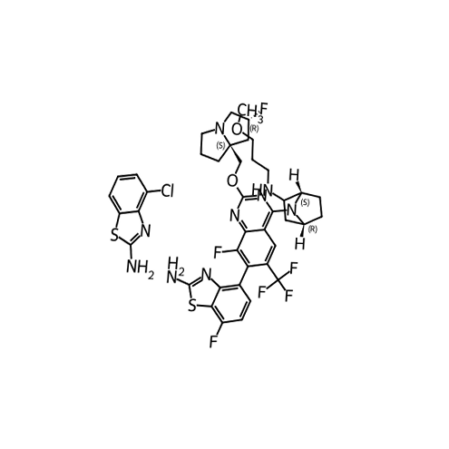 COCCCNC1C[C@H]2CC[C@@H]1N2c1nc(OC[C@@]23CCCN2C[C@H](F)C3)nc2c(F)c(-c3ccc(F)c4sc(N)nc34)c(C(F)(F)F)cc12.Nc1nc2c(Cl)cccc2s1